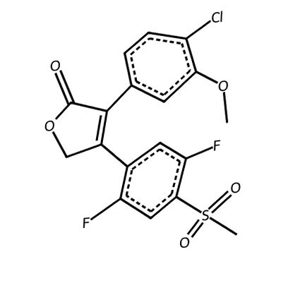 COc1cc(C2=C(c3cc(F)c(S(C)(=O)=O)cc3F)COC2=O)ccc1Cl